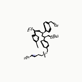 CCC/C=C/CC[N+](C)(C)Cc1ccc(C(CC(CC(CC)c2ccc(C)cc2)c2ccc(CBr)cc2)CC(C)(C)C)cc1